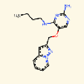 CCCCNc1nc(N)ncc1OCc1cc2ccccn2n1